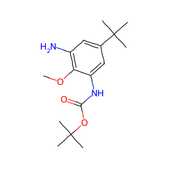 COc1c(N)cc(C(C)(C)C)cc1NC(=O)OC(C)(C)C